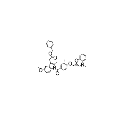 COc1ccc2c(c1)c(CC(=O)OCc1ccccc1)c(C)n2C(=O)c1ccc(OC[C@@H]2CN(C)c3ccccc3O2)c(C)c1